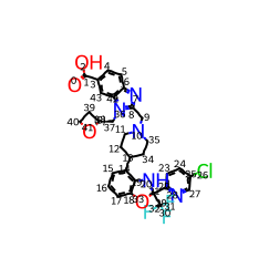 O=C(O)c1ccc2nc(CN3CCC(c4cccc5c4NC(c4ccc(Cl)cn4)(C(F)(F)F)O5)CC3)n(C[C@@H]3CCO3)c2c1